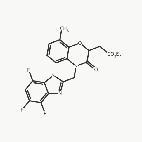 CCOC(=O)CC1Oc2c(C)cccc2N(Cc2nc3c(F)c(F)cc(F)c3s2)C1=O